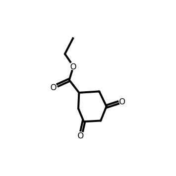 CCOC(=O)C1CC(=O)CC(=O)C1